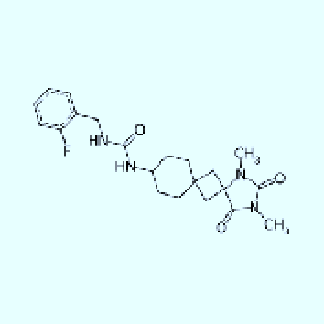 CN1C(=O)N(C)C2(CC3(CCC(NC(=O)NCc4ccccc4F)CC3)C2)C1=O